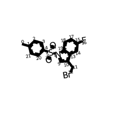 Cc1ccc(S(=O)(=O)n2cc(CBr)c3cc(F)ccc32)cc1